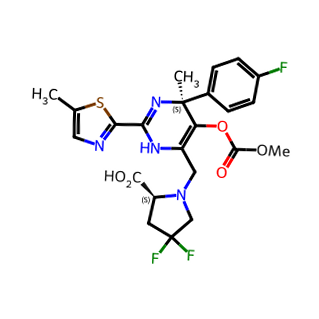 COC(=O)OC1=C(CN2CC(F)(F)C[C@H]2C(=O)O)NC(c2ncc(C)s2)=N[C@@]1(C)c1ccc(F)cc1